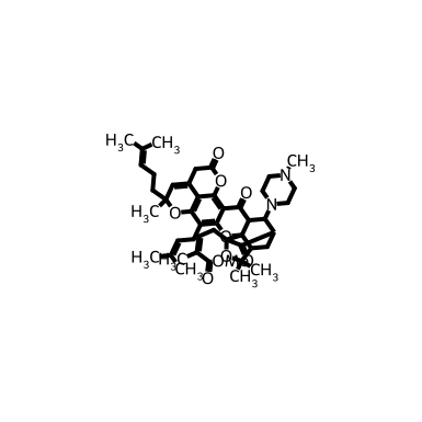 COC(=O)/C(C)=C\CC12OC(C)(C)C3CC(C1=O)C(N1CCN(C)CC1)C1C(=O)c4c(c(CC=C(C)C)c5c6c4OC(=O)CC6=CC(C)(CCC=C(C)C)O5)OC132